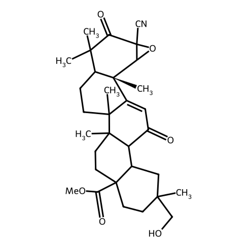 COC(=O)C12CCC(C)(CO)CC1C1C(=O)C=C3C(C)(CCC4C(C)(C)C(=O)C5(C#N)OC5[C@]34C)C1(C)CC2